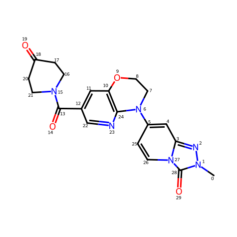 Cn1nc2cc(N3CCOc4cc(C(=O)N5CCC(=O)CC5)cnc43)ccn2c1=O